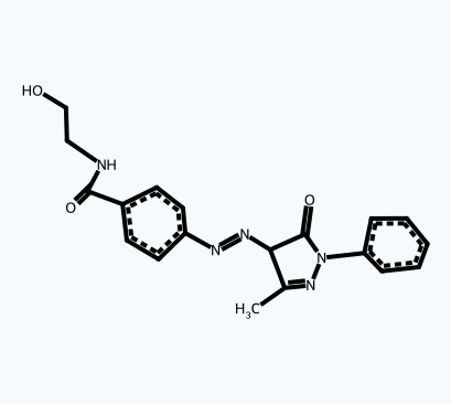 CC1=NN(c2ccccc2)C(=O)C1/N=N/c1ccc(C(=O)NCCO)cc1